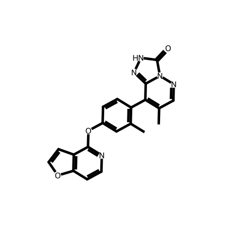 Cc1cc(Oc2nccc3occc23)ccc1-c1c(C)cnn2c(=O)[nH]nc12